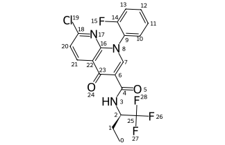 CC[C@@H](NC(=O)c1cn(-c2ccccc2F)c2nc(Cl)ccc2c1=O)C(F)(F)F